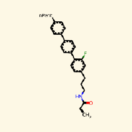 C=CC(=O)NCCCc1ccc(-c2ccc(-c3ccc(CCCCC)cc3)cc2)c(F)c1